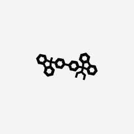 CCC(CC)C1(c2ccc(-c3ccc(C4(C)c5ccccc5-c5ccccc54)cc3)cc2)c2ccccc2-c2ccccc21